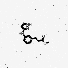 COC(=O)CCc1cccc(Nc2cc[nH]n2)c1